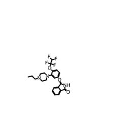 CCCN1CCN(c2ccccc2OC(F)(F)C(F)F)CC1.O=C1NC(=O)c2ccccc21